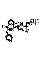 C/C(=C\C(C(C)C)N(C)C(=O)CNC=O)C(=O)N1CCC[C@H]1C(=O)NCc1ccncc1